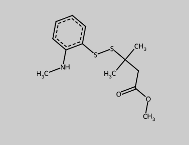 CNc1ccccc1SSC(C)(C)CC(=O)OC